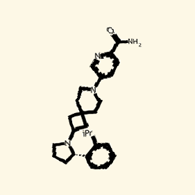 CC(C)c1ccccc1[C@@H]1CCCN1C1CC2(CCN(c3ccc(C(N)=O)nc3)CC2)C1